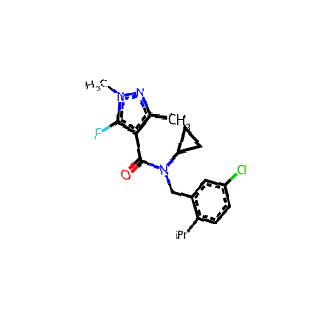 Cc1nn(C)c(F)c1C(=O)N(Cc1cc(Cl)ccc1C(C)C)C1CC1